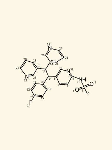 CS(=O)(=O)Nc1ccc(C(c2ccc(F)cc2)C(c2cccnc2)c2cccnc2)cn1